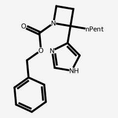 CCCCCC1(c2c[nH]cn2)CCN1C(=O)OCc1ccccc1